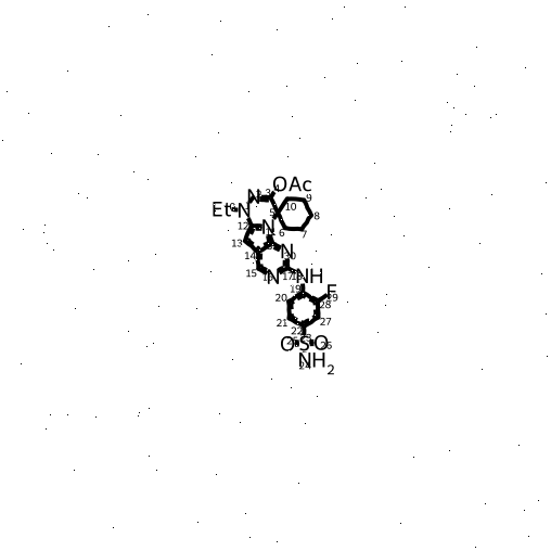 CCN1N=C(OC(C)=O)C2(CCCCC2)n2c1cc1cnc(Nc3ccc(S(N)(=O)=O)cc3F)nc12